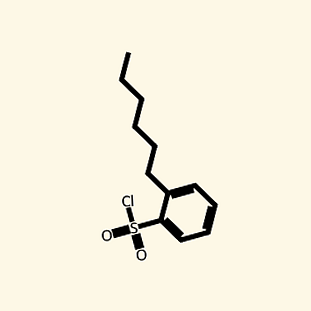 CCCCCCc1ccccc1S(=O)(=O)Cl